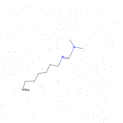 CCCCCCCCCCCCN=CN(C)C